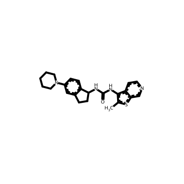 Cc1sc2cnccc2c1NC(=O)NC1CCc2cc(N3CCCCC3)ccc21